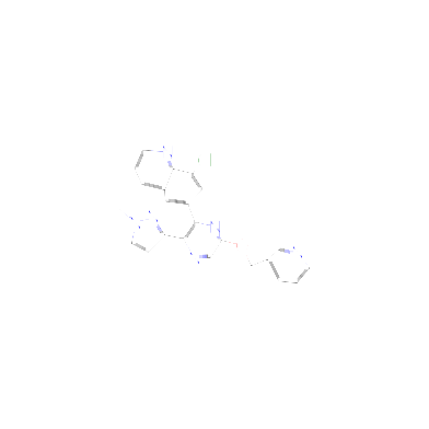 Cn1ccc(-c2ncc(OCc3cccnc3)nc2-c2cc(Cl)c3ncccc3c2)n1